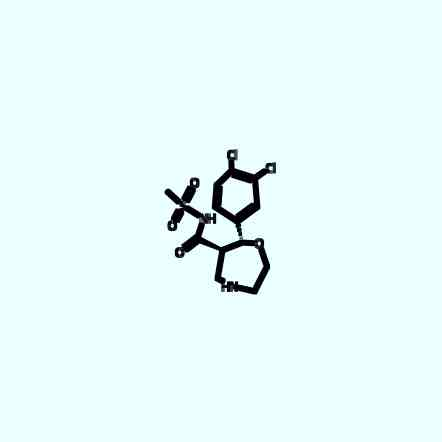 CS(=O)(=O)NC(=O)[C@@H]1CNCCO[C@H]1c1ccc(Cl)c(Cl)c1